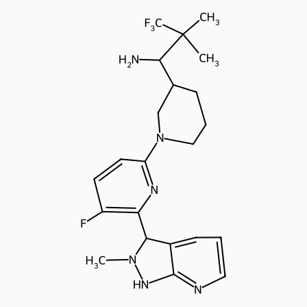 CN1Nc2ncccc2C1c1nc(N2CCCC(C(N)C(C)(C)C(F)(F)F)C2)ccc1F